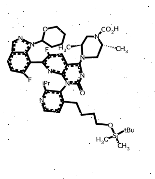 CC(C)c1nccc(CCCCO[Si](C)(C)C(C)(C)C)c1-n1c(=O)nc(N2C[C@@H](C)N(C(=O)O)C[C@@H]2C)c2cc(F)c(-c3c(F)ccc4cnn(C5CCCCO5)c34)nc21